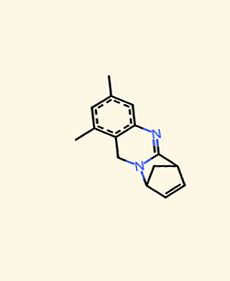 Cc1cc(C)c2c(c1)N=C1C3C=CC(C3)N1C2